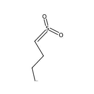 [CH2]CCC=S(=O)=O